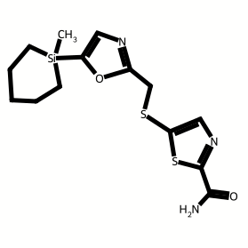 C[Si]1(c2cnc(CSc3cnc(C(N)=O)s3)o2)CCCCC1